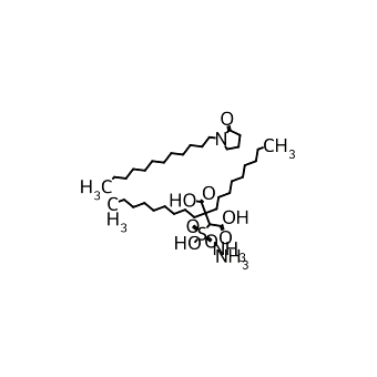 CCCCCCCCCC(CCCCCCCCC)(C(=O)O)C(C(=O)O)S(=O)(=O)O.CCCCCCCCCCCCN1CCCC1=O.N.N